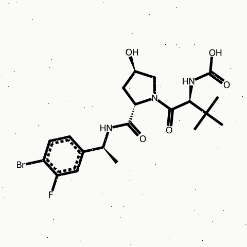 C[C@H](NC(=O)[C@@H]1C[C@@H](O)CN1C(=O)[C@@H](NC(=O)O)C(C)(C)C)c1ccc(Br)c(F)c1